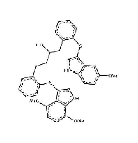 COc1ccc2[nH]cc(Sc3ccccc3CC(N)CCc3ccccc3Sc3c[nH]c4c(OC)ccc(OC)c34)c2c1